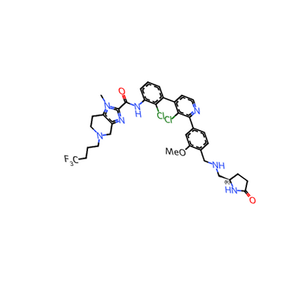 COc1cc(-c2nccc(-c3cccc(NC(=O)c4nc5c(n4C)CCN(CCCC(F)(F)F)C5)c3Cl)c2Cl)ccc1CNC[C@H]1CCC(=O)N1